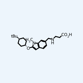 Cn1c(O[C@H]2CC[C@H](C(C)(C)C)CC2)cc2ccc(CNCCC(=O)O)cc21